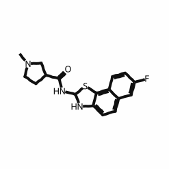 CN1CCC(C(=O)NC2Nc3ccc4cc(F)ccc4c3S2)C1